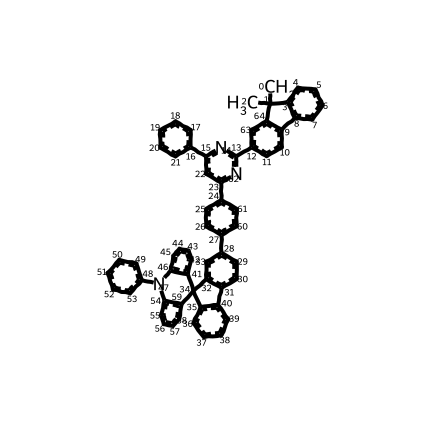 CC1(C)c2ccccc2-c2ccc(-c3nc(-c4ccccc4)cc(-c4ccc(-c5ccc6c(c5)C5(c7ccccc7-6)c6ccccc6N(c6ccccc6)c6ccccc65)cc4)n3)cc21